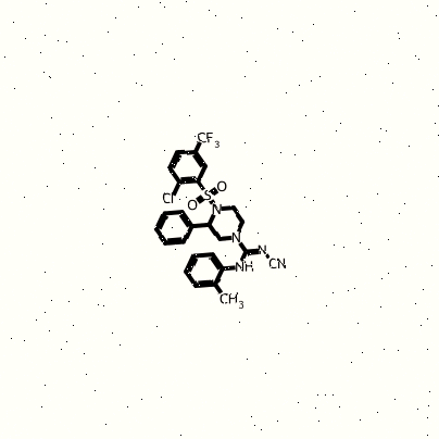 Cc1ccccc1N/C(=N\C#N)N1CCN(S(=O)(=O)c2cc(C(F)(F)F)ccc2Cl)C(c2ccccc2)C1